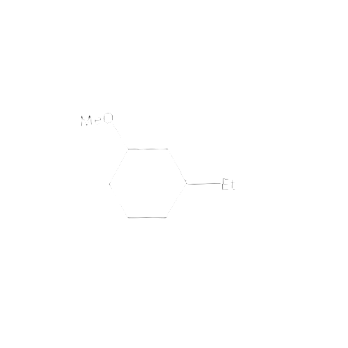 CC[C]1CCCC(OC)C1